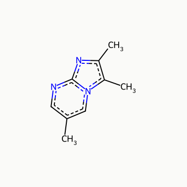 Cc1cnc2nc(C)c(C)n2c1